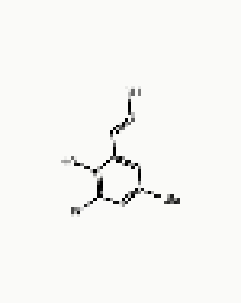 CC(C)(C)c1cc(Br)c(O)c(C=NO)c1